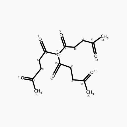 CC(=O)CC[C](=O)[Cr]([C](=O)CCC(C)=O)[C](=O)CCC(C)=O